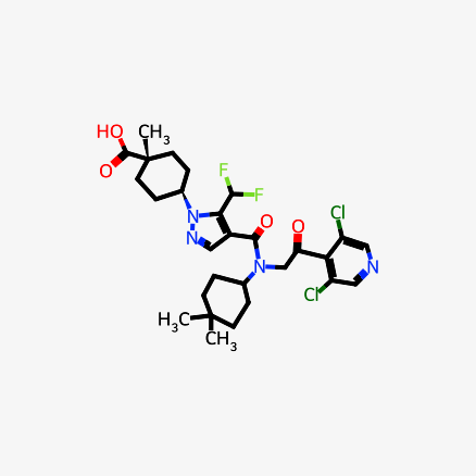 CC1(C)CCC(N(CC(=O)c2c(Cl)cncc2Cl)C(=O)c2cnn([C@H]3CC[C@](C)(C(=O)O)CC3)c2C(F)F)CC1